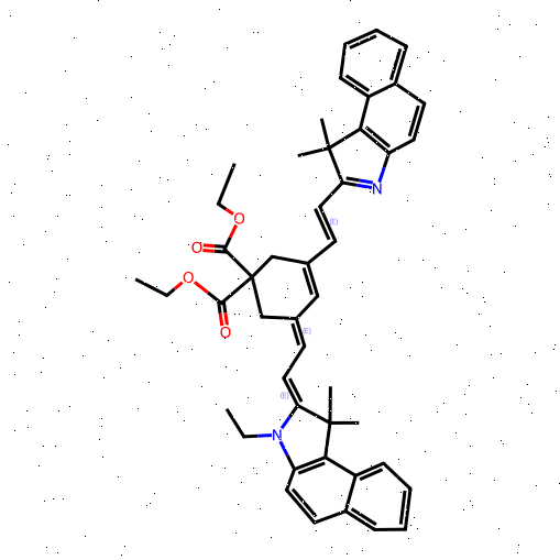 CCOC(=O)C1(C(=O)OCC)CC(/C=C/C2=Nc3ccc4ccccc4c3C2(C)C)=CC(=C/C=C2/N(CC)c3ccc4ccccc4c3C2(C)C)/C1